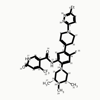 CCc1ccc(N2CC=C(c3cc(NC(=O)c4c[nH]c(=O)cc4C(F)(F)F)c(N4C[C@@H](C)N(C)[C@@H](C)C4)cc3F)CC2)nn1